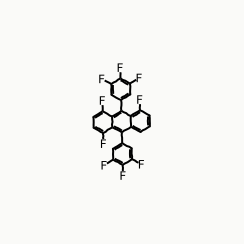 Fc1cc(-c2c3cccc(F)c3c(-c3cc(F)c(F)c(F)c3)c3c(F)ccc(F)c23)cc(F)c1F